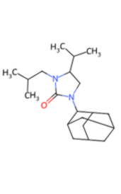 CC(C)CN1C(=O)N(C2C3CC4CC(C3)CC2C4)CC1C(C)C